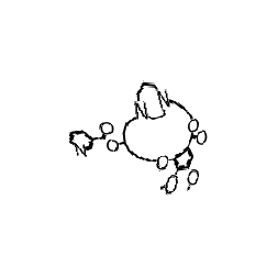 COc1cc2cc(c1OC)OCCCC(OC(=O)c1cccnc1)CCN1CCCN(CCCOC2=O)CC1